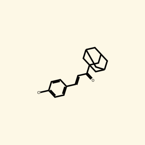 O=C(C=Cc1ccc(Cl)cc1)C12CC3CC(CC(C3)C1)C2